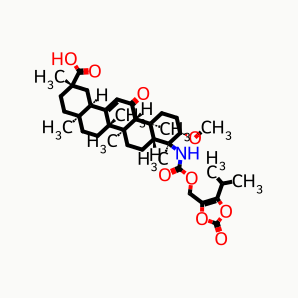 CO[C@H]1CC[C@@]2(C)[C@@H](CC[C@]3(C)[C@@H]2C(=O)C=C2[C@@H]4C[C@@](C)(C(=O)O)CC[C@]4(C)CC[C@]23C)[C@]1(C)NC(=O)OCc1oc(=O)oc1C(C)C